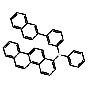 c1ccc(N(c2cccc(-c3ccc4ccccc4c3)c2)c2cccc3c2ccc2c4ccccc4ccc32)cc1